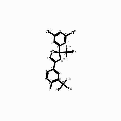 Cc1ccc(C2=NOC(c3cc(Cl)cc(Cl)c3)(C(F)(F)F)C2)cc1C(F)(F)F